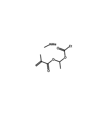 C=C(C)C(=O)OC(C)OC(=O)CC.CNC